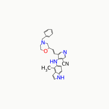 Cc1c(Nc2c(C#N)cncc2C=CC2CN(Cc3ccccc3)CCO2)ccc2[nH]ccc12